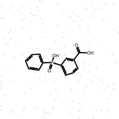 O=C(O)c1cccc(P(=O)(O)c2ccccc2)c1